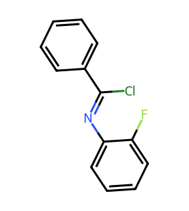 Fc1ccccc1N=C(Cl)c1ccccc1